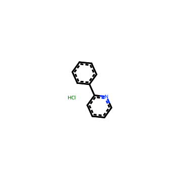 Cl.c1ccc(-c2ccccn2)cc1